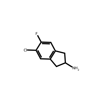 NC1Cc2cc(F)c(Cl)cc2C1